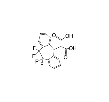 O=C(O)C(C(=O)O)C1c2ccccc2C(F)(F)C(F)(F)c2ccccc21